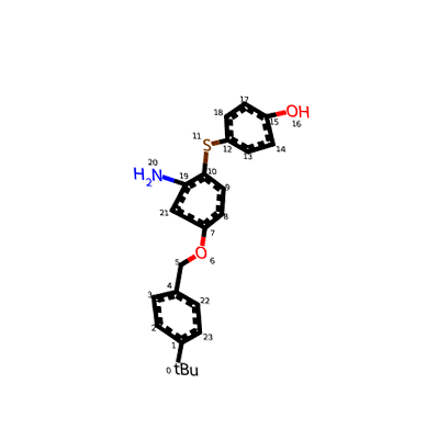 CC(C)(C)c1ccc(COc2ccc(Sc3ccc(O)cc3)c(N)c2)cc1